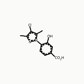 Cc1nn(-c2ccc(C(=O)O)cc2O)c(C)c1Cl